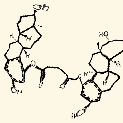 C[C@]12CC[C@@H]3c4c(cc(O)cc4OC(=O)CC(=O)Oc4cc(O)cc5c4[C@H]4CC[C@]6(C)[C@H](O)CC[C@H]6[C@@H]4CC5)CC[C@H]3[C@@H]1CC[C@H]2O